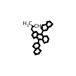 CC(C)Cc1ccc2c(-c3ccc4ccccc4c3)c3ccccc3c(-c3ccc4ccccc4c3)c2c1